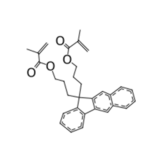 C=C(C)C(=O)OCCCC1(CCCOC(=O)C(=C)C)c2ccccc2-c2cc3ccccc3cc21